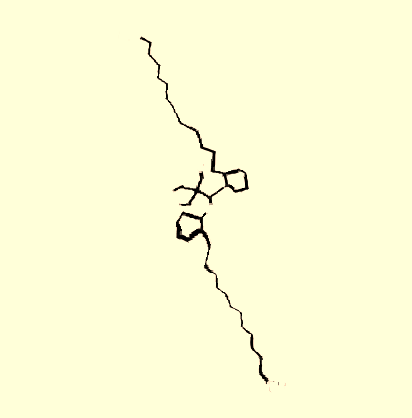 CCCCCCCCCCCCCc1ccccc1OC(c1ccccc1CCCCCCCCCCCCC)C(CO)(CO)CO